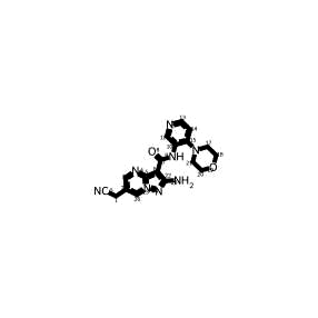 N#CCc1cnc2c(C(=O)Nc3cnccc3N3CCOCC3)c(N)nn2c1